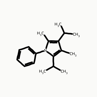 Cc1c(C(C)C)c(C)n(-c2ccccc2)c1C(C)C